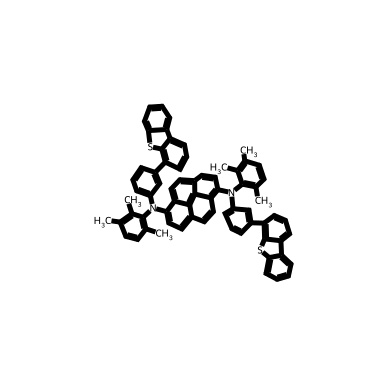 Cc1ccc(C)c(N(c2cccc(-c3cccc4c3sc3ccccc34)c2)c2ccc3ccc4c(N(c5cccc(-c6cccc7c6sc6ccccc67)c5)c5c(C)ccc(C)c5C)ccc5ccc2c3c54)c1C